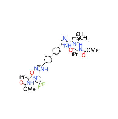 COC(=O)N[C@H](C(=O)N1CC(F)(F)C[C@H]1c1ncc(-c2ccc(-c3ccc(-c4cnc([C@@H]5C[Si](C)(C)CN5C(=O)[C@@H](NC(=O)OC)C(C)C)[nH]4)cc3)cc2)[nH]1)C(C)C